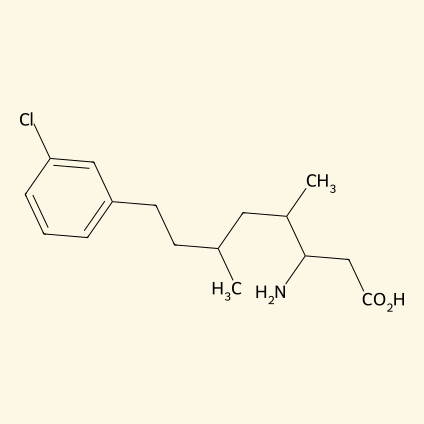 CC(CCc1cccc(Cl)c1)CC(C)C(N)CC(=O)O